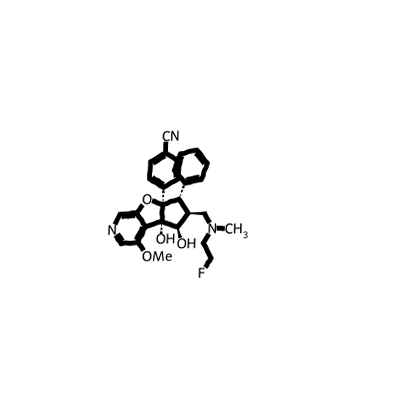 COc1cncc2c1[C@]1(O)[C@H](O)[C@H](CN(C)CCF)[C@@H](c3ccccc3)[C@]1(c1ccc(C#N)cc1)O2